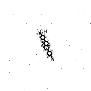 CC12CC=C(c3ccc(C(=O)O)cc3)C(C)(C)C1=CCN(c1ccc(C#N)cc1)C2